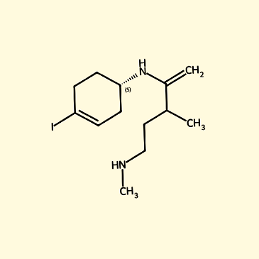 C=C(N[C@@H]1CC=C(I)CC1)C(C)CCNC